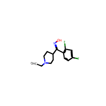 O=CCN1CCC(C(=NO)c2ccc(F)cc2F)CC1